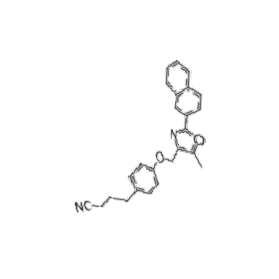 Cc1oc(-c2ccc3ccccc3c2)nc1COc1ccc(CCCC#N)cc1